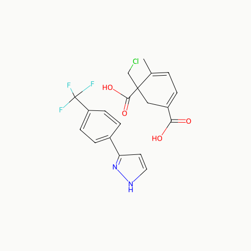 CC1=CC=C(C(=O)O)CC1(CCl)C(=O)O.FC(F)(F)c1ccc(-c2cc[nH]n2)cc1